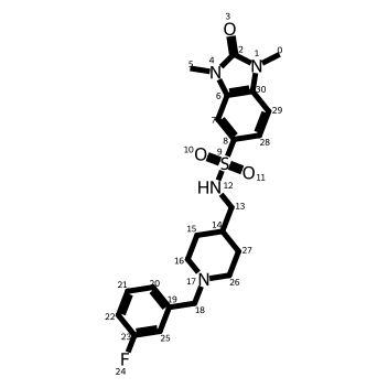 Cn1c(=O)n(C)c2cc(S(=O)(=O)NCC3CCN(Cc4cccc(F)c4)CC3)ccc21